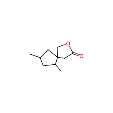 CC1CC(C)C2(COC(=O)C2)C1